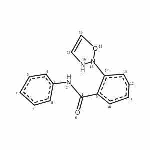 O=C(Nc1ccccc1)c1ccccc1N1NC=CO1